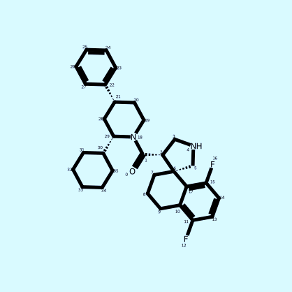 O=C([C@@H]1CNC[C@]12CCCc1c(F)ccc(F)c12)N1CC[C@@H](c2ccccc2)C[C@H]1C1CCCCC1